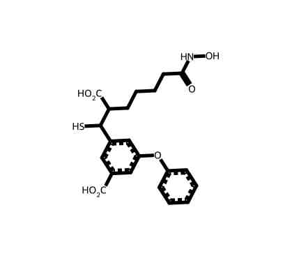 O=C(CCCCC(C(=O)O)C(S)c1cc(Oc2ccccc2)cc(C(=O)O)c1)NO